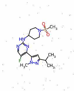 CC(C)c1cc(-c2nc(NC3CCN(S(C)(=O)=O)CC3)ncc2F)n(C)n1